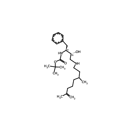 C=C(C)CCCC(C)CCNC[C@@H](O)[C@H](Cc1ccccc1)NC(=O)OC(C)(C)C